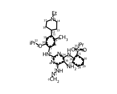 C=NNc1nc(Nc2cc(C)c(C3CCN(CC)CC3)cc2OC(C)C)nc(Nc2ccccc2S(=O)(=O)C(C)C)c1N